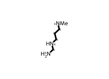 CNCCCNCN